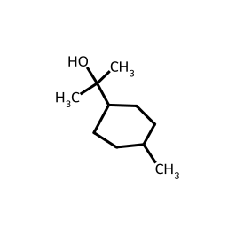 CC1CCC(C(C)(C)O)CC1